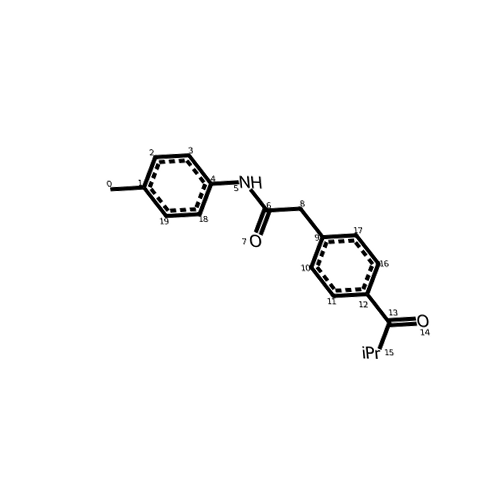 Cc1ccc(NC(=O)Cc2ccc(C(=O)C(C)C)cc2)cc1